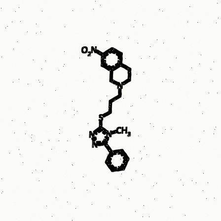 Cn1c(SCCCN2CCc3ccc([N+](=O)[O-])cc3C2)nnc1-c1ccccc1